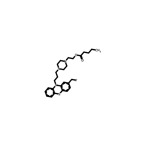 CCCCC(=O)OCCN1CCN(CCCN2c3ccccc3Sc3ccc(CF)cc32)CC1